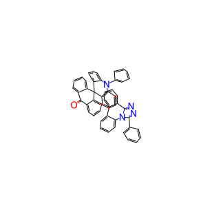 O=C1c2ccccc2C2(c3ccccc31)c1ccccc1N(c1ccccc1)c1ccc(-c3ccccc3-n3c(-c4ccccc4)nnc3-c3ccccc3)cc12